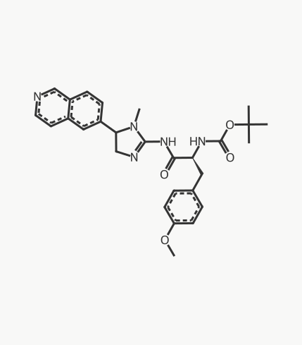 COc1ccc(C[C@H](NC(=O)OC(C)(C)C)C(=O)NC2=NCC(c3ccc4cnccc4c3)N2C)cc1